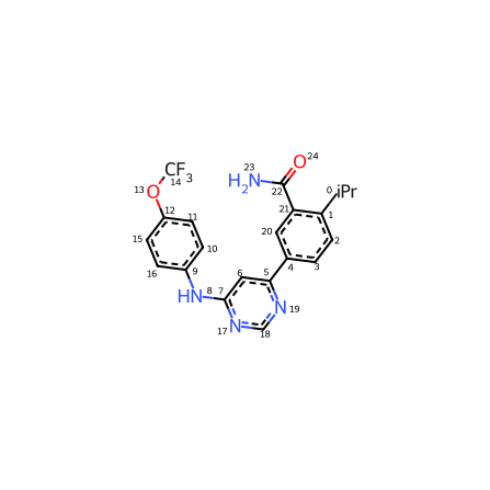 CC(C)c1ccc(-c2cc(Nc3ccc(OC(F)(F)F)cc3)ncn2)cc1C(N)=O